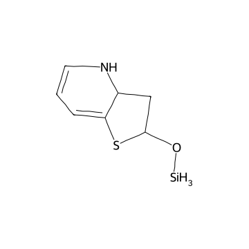 [SiH3]OC1CC2NC=CC=C2S1